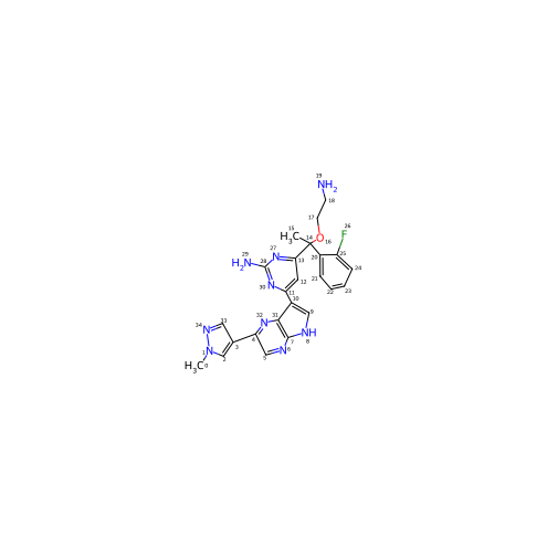 Cn1cc(-c2cnc3[nH]cc(-c4cc(C(C)(OCCN)c5ccccc5F)nc(N)n4)c3n2)cn1